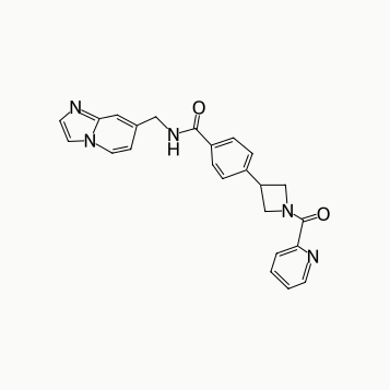 O=C(NCc1ccn2ccnc2c1)c1ccc(C2CN(C(=O)c3ccccn3)C2)cc1